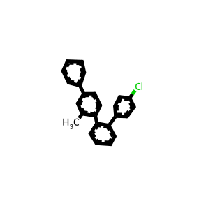 Cc1cc(-c2ccccc2)ccc1-c1ccccc1-c1ccc(Cl)cc1